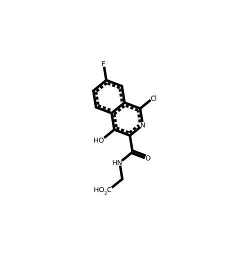 O=C(O)CNC(=O)c1nc(Cl)c2cc(F)ccc2c1O